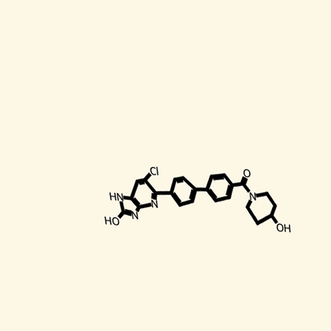 O=C(c1ccc(-c2ccc(-c3nc4nc(O)[nH]c4cc3Cl)cc2)cc1)N1CCC(O)CC1